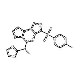 Cc1ccc(S(=O)(=O)c2nnn3c2nc(N(C)c2ccco2)c2sccc23)cc1